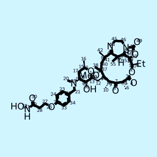 CC[C@H]1OC(=O)[C@H](C)C(=O)[C@H](C)[C@@H](C[C@@H]2O[C@H](C)C[C@H](N(C)Cc3ccc(OCCC(=O)NO)cc3)[C@H]2O)[C@](C)(OC)C[C@@H](C)C2=NCCN3C(=O)O[C@@]1(C)[C@H]3[C@H]2C